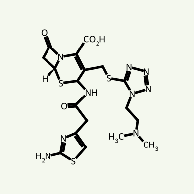 CN(C)CCn1nnnc1SCC1=C(C(=O)O)N2C(=O)C[C@H]2SC1NC(=O)Cc1csc(N)n1